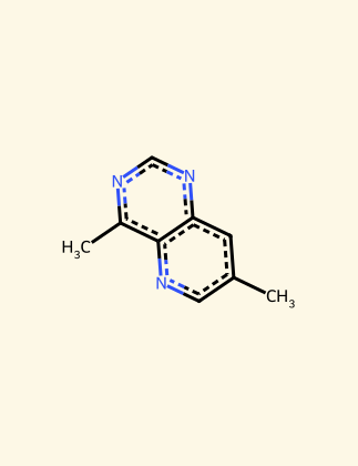 Cc1cnc2c(C)ncnc2c1